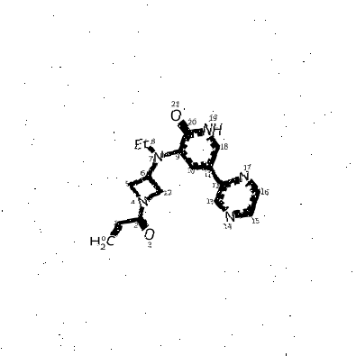 C=CC(=O)N1CC(N(CC)c2cc(-c3cnccn3)c[nH]c2=O)C1